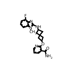 Cn1c(NC2CC3(C2)CC(Oc2ncccc2C(N)=O)C3)nc2c(F)cccc21